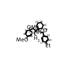 C=C(CC1(OC)C=CC(OC)=C=I1)C1(NC(=O)c2ccc(CC)cc2)CCCCC1